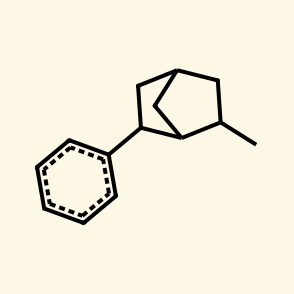 CC1CC2CC(c3ccccc3)C1C2